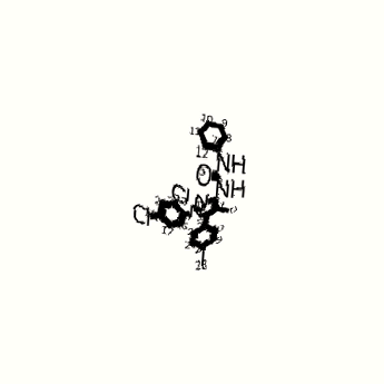 Cc1c(NC(=O)NC2CCCCC2)nn(-c2ccc(Cl)cc2Cl)c1-c1ccc(I)cc1